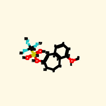 COc1cccc2c1CCCC(OS(=O)(=O)C(F)(F)F)=C2